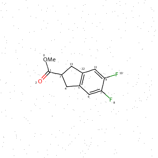 COC(=O)C1Cc2cc(F)c(F)cc2C1